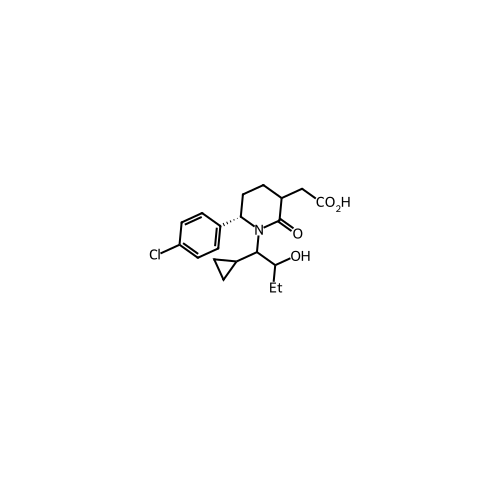 CCC(O)C(C1CC1)N1C(=O)C(CC(=O)O)CC[C@H]1c1ccc(Cl)cc1